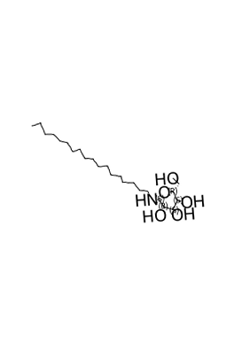 CCCCCCCCCCCCCCCCCCN[C@H]1O[C@H](CO)[C@@H](O)[C@H](O)[C@H]1O